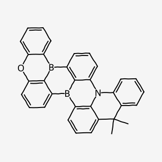 CC1(C)c2ccccc2N2c3cccc4c3B(c3cccc5c3B4c3ccccc3O5)c3cccc1c32